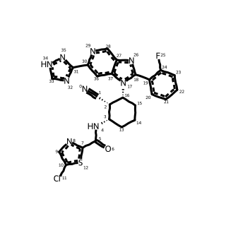 N#C[C@H]1[C@@H](NC(=O)c2ncc(Cl)s2)CCC[C@H]1n1c(-c2ccccc2F)nc2cnc(-c3nc[nH]n3)cc21